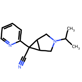 CC(C)N1CC2C(C1)C2(C#N)c1ccccn1